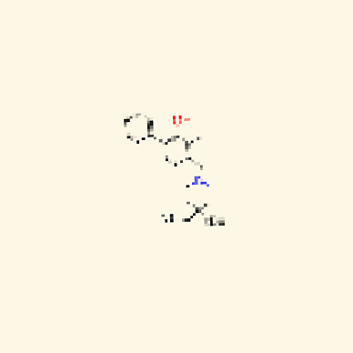 Cc1c(CN2CCC(CC#N)(C(C)(C)C)CC2)ccc(-c2ccccc2)c1O